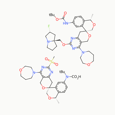 C[C@@H]1OC[C@]2(Cc3nc(OC[C@@]45CCCN4C[C@H](F)C5)nc(N4CCCOCC4)c3CO2)c2cc(NC(=O)OC(C)(C)C)ccc21.C[C@@H]1OC[C@]2(Cc3nc(S(C)(=O)=O)nc(N4CCCOCC4)c3CO2)c2cc(N(C(=O)O)C(C)(C)C)ccc21